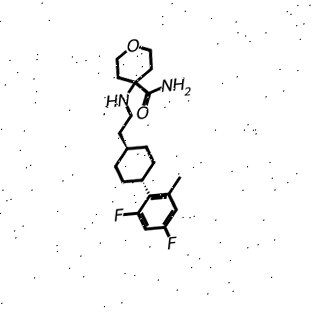 Cc1cc(F)cc(F)c1[C@H]1CC[C@H](CCNC2(C(N)=O)CCOCC2)CC1